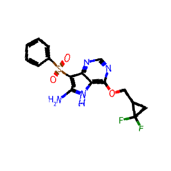 Nc1[nH]c2c(OCC3CC3(F)F)ncnc2c1S(=O)(=O)c1ccccc1